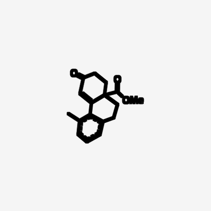 COC(=O)C12CCC(=O)C=C1c1c(C)cccc1CC2